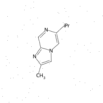 Cc1cn2cc(C(C)C)ncc2n1